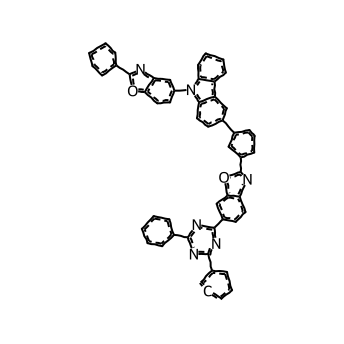 c1ccc(-c2nc(-c3ccccc3)nc(-c3ccc4nc(-c5cccc(-c6ccc7c(c6)c6ccccc6n7-c6ccc7oc(-c8ccccc8)nc7c6)c5)oc4c3)n2)cc1